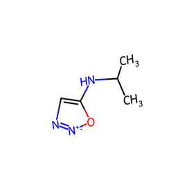 CC(C)NC1=CN=[N+]O1